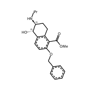 COC(=O)c1c(OCc2ccccc2)ccc2c1CC[C@H](NC(C)C)[C@H]2O